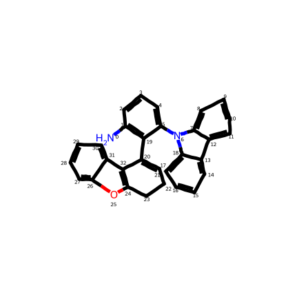 Nc1cccc(-n2c3ccccc3c3ccccc32)c1C1=CCCc2oc3ccccc3c21